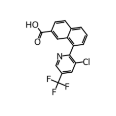 O=C(O)c1ccc2cccc(-c3ncc(C(F)(F)F)cc3Cl)c2c1